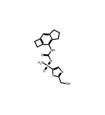 NS(=O)(=NC(=O)Nc1c2c(cc3c1CC3)CCC2)c1cnc(CO)s1